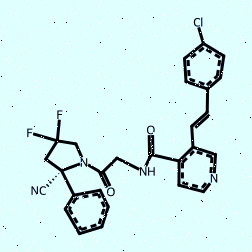 N#C[C@]1(c2ccccc2)CC(F)(F)CN1C(=O)CNC(=O)c1ccncc1/C=C/c1ccc(Cl)cc1